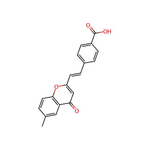 Cc1ccc2oc(C=Cc3ccc(C(=O)O)cc3)cc(=O)c2c1